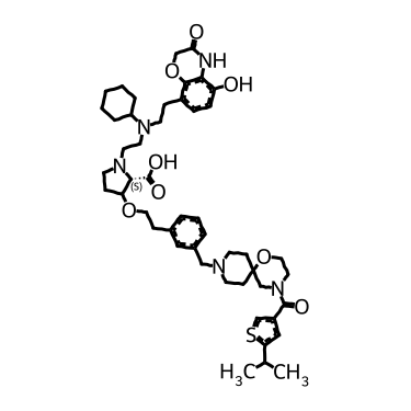 CC(C)c1cc(C(=O)N2CCOC3(CCN(Cc4cccc(CCOC5CCN(CCN(CCc6ccc(O)c7c6OCC(=O)N7)C6CCCCC6)[C@@H]5C(=O)O)c4)CC3)C2)cs1